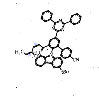 C=C(/C=C\C(C#N)=C/C)c1cc(-c2nc(-c3ccccc3)nc(-c3ccccc3)n2)cc(-c2ccc(C#N)cc2)c1-n1c2ccccc2c2cc(C(C)(C)C)ccc21